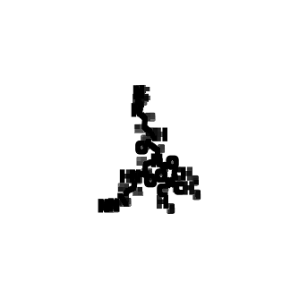 CC(C)(C)OC(=O)N(CC(=O)NCCN=[N+]=[N-])CC(=O)NCCN=[N+]=[N-]